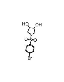 O=S(=O)(c1ccc(Br)cc1)N1C[C@@H](O)[C@@H](O)C1